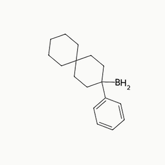 BC1(c2ccccc2)CCC2(CCCCC2)CC1